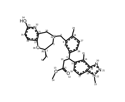 CC[C@@H]1CN(Cc2cc(C(CC(=O)OC)c3ccc4c(nnn4C)c3C)ccc2C)Cc2nc(O)ccc2O1